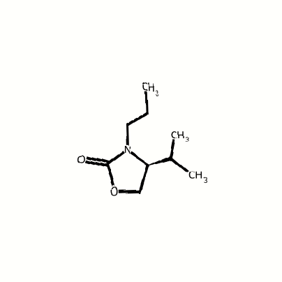 CCCN1C(=O)OC[C@@H]1C(C)C